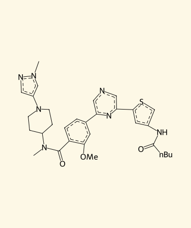 CCCCC(=O)Nc1csc(-c2cncc(-c3ccc(C(=O)N(C)C4CCN(c5cnn(C)c5)CC4)c(OC)c3)n2)c1